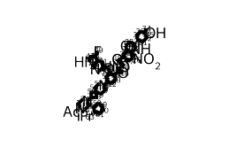 CC(=O)N1CCN(C2CC3(CCN(c4ccc(C(=O)NS(=O)(=O)c5cc6c(c([N+](=O)[O-])c5)N[C@@H](C5CCC(C)(O)CC5)CO6)c(Oc5cnc6[nH]cc(F)c6c5)c4)CC3)C2)[C@H](c2ccccc2C(C)C)C1